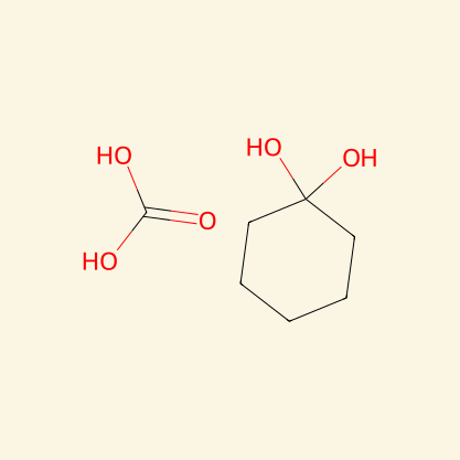 O=C(O)O.OC1(O)CCCCC1